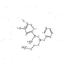 CCCCN(Cc1ccccc1)CC(O)c1ccc(F)c(F)c1